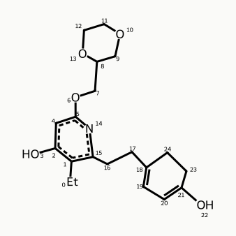 CCc1c(O)cc(OCC2COCCO2)nc1CCC1=CC=C(O)CC1